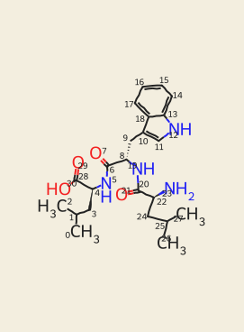 CC(C)C[C@H](NC(=O)[C@H](Cc1c[nH]c2ccccc12)NC(=O)[C@@H](N)CC(C)C)C(=O)O